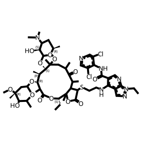 CC[C@@H]1OC(=O)C(C)[C@H](OC2C[C@@](C)(OC)C(O)C(C)O2)[C@@H](C)[C@H](OC2O[C@H](C)CC(N(C)C)[C@@H]2O)C(C)(OC)CC(C)C(=O)C(C)C2C(SCCNc3c(C(=O)Nc4c(Cl)cncc4Cl)cnc4c3cnn4CC)C(=O)OC21C